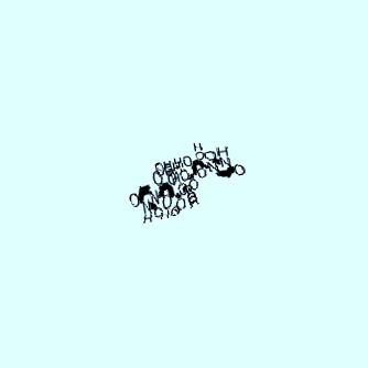 O=c1ccn([C@H]2O[C@@H](C(O)O[PH](=O)OC(OO)[C@@H]3O[C@H](n4ccc(=O)[nH]c4=O)C(OO)C3OO)C(O)C2O)c(=O)[nH]1